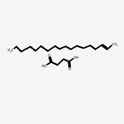 CC=CCCCCCCCCCCCCCCC.O=C(O)CCC(=O)O